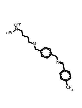 CCCN(CCC)CCCC[N]Cc1ccc(CN=Cc2ccc(C(F)(F)F)cc2)cc1